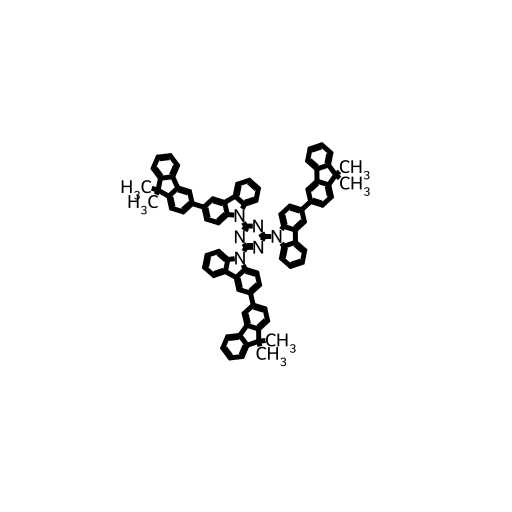 CC1(C)c2ccccc2-c2cc(-c3ccc4c(c3)c3ccccc3n4-c3nc(-n4c5ccccc5c5cc(-c6ccc7c(c6)-c6ccccc6C7(C)C)ccc54)nc(-n4c5ccccc5c5cc(-c6ccc7c(c6)-c6ccccc6C7(C)C)ccc54)n3)ccc21